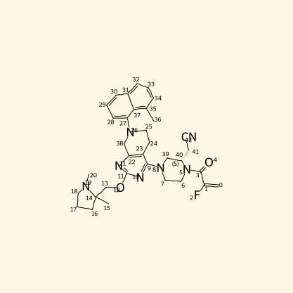 C=C(F)C(=O)N1CCN(c2nc(OCC3(C)CCCN3C)nc3c2CCN(c2cccc4cccc(C)c24)C3)C[C@@H]1CC#N